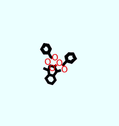 CC12OC(C)(C3CCCCC31)C(OC(=O)c1ccccc1)C2OC(=O)c1ccccc1